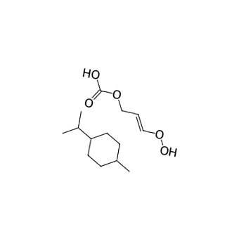 CC1CCC(C(C)C)CC1.O=C(O)OCC=COO